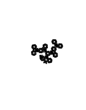 CC1(C)c2ccccc2N(c2cc(-n3c4ccccc4c4cc(N(c5ccccc5)c5ccccc5)ccc43)cc(-n3c4ccccc4c4cc(-n5c6ccccc6c6ccccc65)ccc43)c2)c2cnccc21